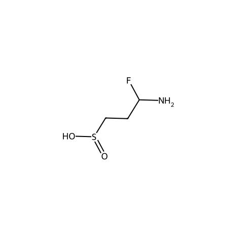 NC(F)CCS(=O)O